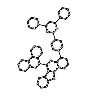 c1ccc(-c2cc(-c3ccccc3)nc(-c3ccc(-c4cccc5c4nc(-c4cc6ccccc6c6ccccc46)c4c6ccccc6sc54)cc3)n2)cc1